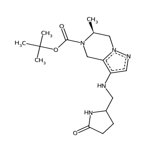 C[C@H]1Cn2ncc(NCC3CCC(=O)N3)c2CN1C(=O)OC(C)(C)C